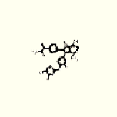 C=C(C(N)=O)c1ccc(-c2c(-c3ccc(Oc4ncc(Cl)c(C)n4)c(F)c3)c3c(N)ncc(C#N)c3n2C)cc1